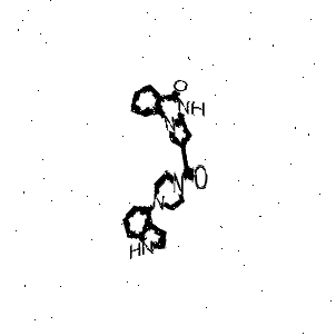 O=C(c1cc2[nH]c(=O)c3ccccc3n2c1)N1CCN(c2cccc3[nH]ccc23)CC1